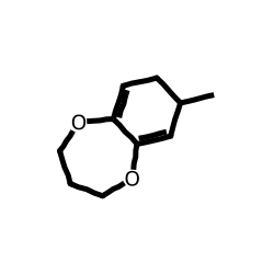 CC1C=C2OCCCOC2=CC1